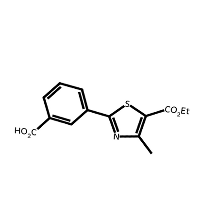 CCOC(=O)c1sc(-c2cccc(C(=O)O)c2)nc1C